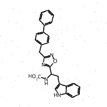 O=C(O)NC(Cc1c[nH]c2ccccc12)c1nc(Cc2ccc(-c3ccccc3)cc2)no1